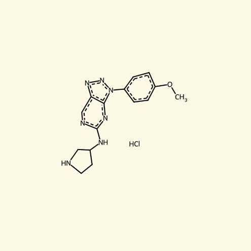 COc1ccc(-n2nnc3cnc(NC4CCNC4)nc32)cc1.Cl